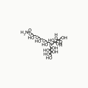 NC(=O)OCC(O)COCC(O)COCC(O)CN(C[C@H](O)[C@@H](O)[C@H](O)[C@H](O)CO)C[C@H](O)[C@@H](O)[C@H](O)[C@H](O)CO